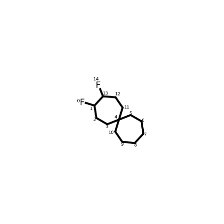 FC1CCC2(CCCCCC2)CCC1F